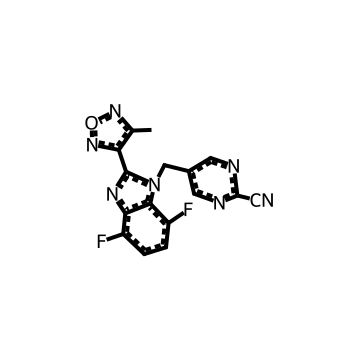 Cc1nonc1-c1nc2c(F)ccc(F)c2n1Cc1cnc(C#N)nc1